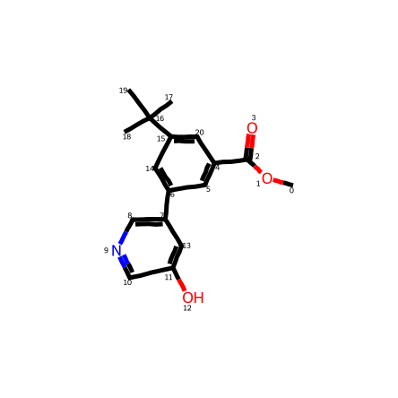 COC(=O)c1cc(-c2cncc(O)c2)cc(C(C)(C)C)c1